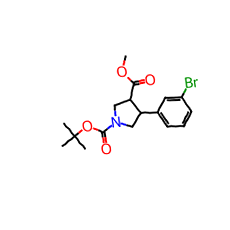 COC(=O)C1CN(C(=O)OC(C)(C)C)CC1c1cccc(Br)c1